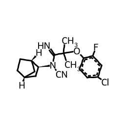 CC(C)(Oc1ccc(Cl)cc1F)C(=N)N(C#N)[C@H]1C[C@@H]2CC[C@H]1C2